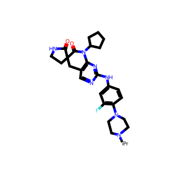 CC(C)N1CCN(c2ccc(Nc3ncc4c(n3)N(C3CCCC3)C(=O)C3(CCNC3=O)C4)cc2F)CC1